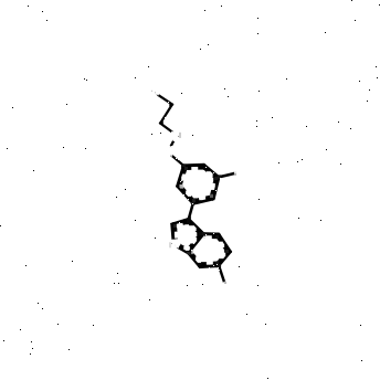 NCCNSc1cc(F)cc(-c2c[nH]c3cc(F)ccc23)c1